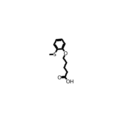 CSc1ccccc1OCCCCC(=O)O